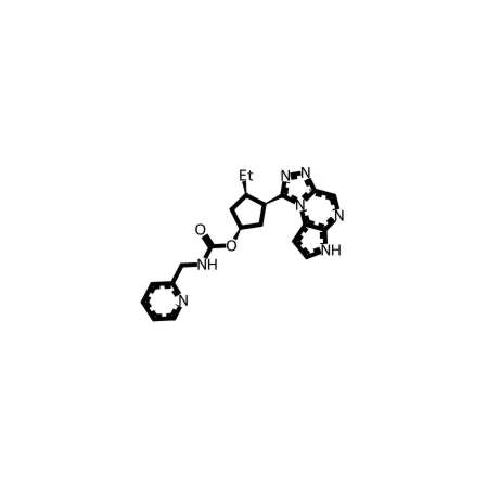 CC[C@@H]1C[C@H](OC(=O)NCc2ccccn2)C[C@@H]1c1nnc2cnc3[nH]ccc3n12